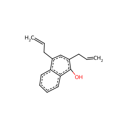 C=CCc1cc(CC=C)c2ccccc2c1O